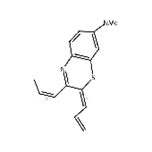 C=C/C=C1/Sc2cc(NC)ccc2N=C1/C=C\C